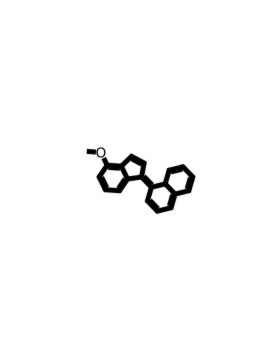 COc1cccc2c1C=CC2=C1C=CC=C2C=CC=CC21